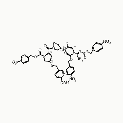 COc1ccc(CS[C@H]2C[C@@H](C(=O)N3CC[C@H](NC(=O)[C@H](C)N(C(=O)OCc4ccc([N+](=O)[O-])cc4)C(N)=NC(=O)OCc4ccc([N+](=O)[O-])cc4)C3)N(C(=O)OCc3ccc([N+](=O)[O-])cc3)C2)cc1